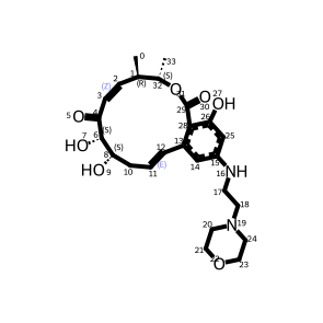 C[C@@H]1/C=C\C(=O)[C@@H](O)[C@@H](O)C/C=C/c2cc(NCCN3CCOCC3)cc(O)c2C(=O)O[C@H]1C